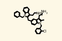 Cc1c(CCN)c2cc(Cc3c(CCN)c4ccccc4n3Cc3ccccc3)ccc2n1Cc1ccccc1Cl